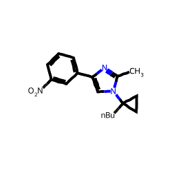 CCCCC1(n2cc(-c3cccc([N+](=O)[O-])c3)nc2C)CC1